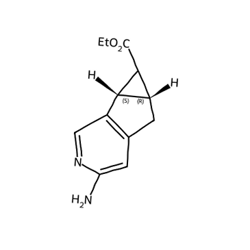 CCOC(=O)C1[C@H]2c3cnc(N)cc3C[C@@H]12